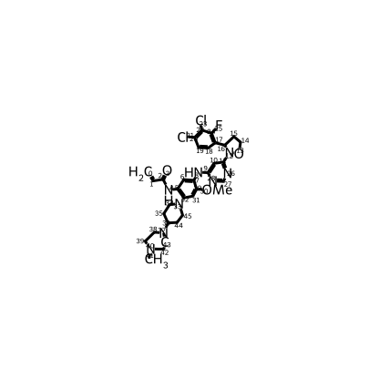 C=CC(=O)Nc1cc(Nc2cc(N3OCCC3c3ccc(Cl)c(Cl)c3F)ncn2)c(OC)cc1N1CCC(N2CCN(C)CC2)CC1